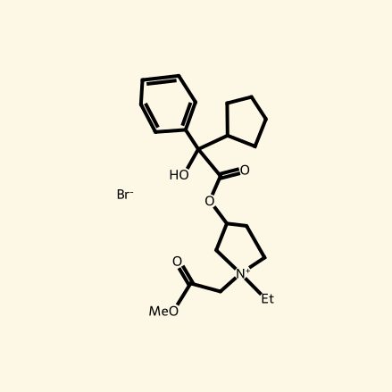 CC[N+]1(CC(=O)OC)CCC(OC(=O)C(O)(c2ccccc2)C2CCCC2)C1.[Br-]